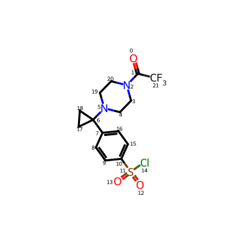 O=C(N1CCN(C2(c3ccc(S(=O)(=O)Cl)cc3)CC2)CC1)C(F)(F)F